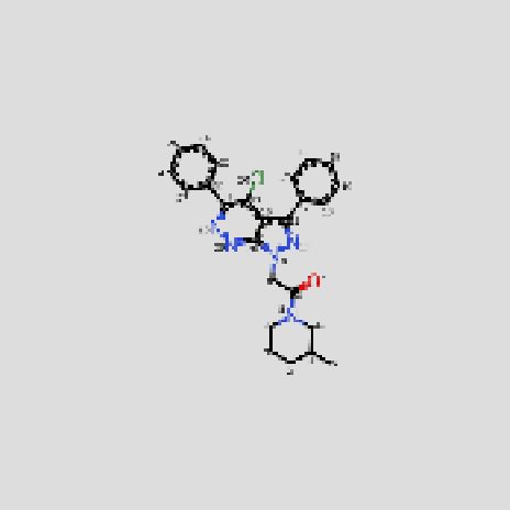 CC1CCCN(C(=O)Cn2nc(-c3ccccc3)c3c(Cl)c(-c4ccccc4)nnc32)C1